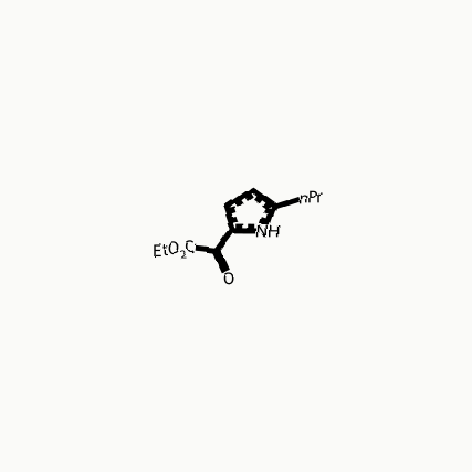 CCCc1ccc(C(=O)C(=O)OCC)[nH]1